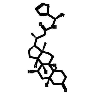 CC(C)[C@@H](NC(=O)C[C@@H](C)[C@H]1CC[C@H]2[C@@H]3[C@H](O)C[C@@H]4CC(=O)CC[C@]4(C)[C@H]3CC[C@]12C)c1cccs1